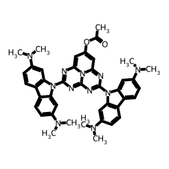 CC(=O)OC1=CC2=NC(n3c4cc(N(C)C)ccc4c4ccc(N(C)C)cc43)=NC3=NC(n4c5cc(N(C)C)ccc5c5ccc(N(C)C)cc54)=NC(=C1)N23